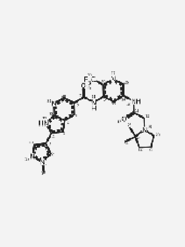 Cn1cc(-c2cc3cc(C(=O)Nc4cc(NC(=O)CN5CCCC5(C)C)cnc4C(F)(F)F)cnc3[nH]2)cn1